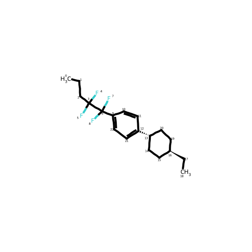 CCCC(F)(F)C(F)(F)c1ccc([C@H]2CC[C@H](CC)CC2)cc1